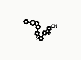 CC1(C)c2cc(C#N)ccc2-c2ccc(-c3cccc4sc5ccc(C6=CC=C7C=CC8=C(CC=C(c9ccccc9)C=C8)C7C6)cc5c34)cc21